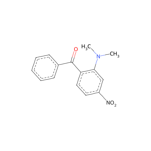 CN(C)c1cc([N+](=O)[O-])ccc1C(=O)c1ccccc1